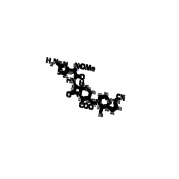 CO/N=C(\C(=O)N[C@@H]1C(=O)N2C(C(=O)[O-])=C(Cn3cc[n+]4c(C#N)ccc-4c3C)CS[C@@H]12)c1csc(N)n1